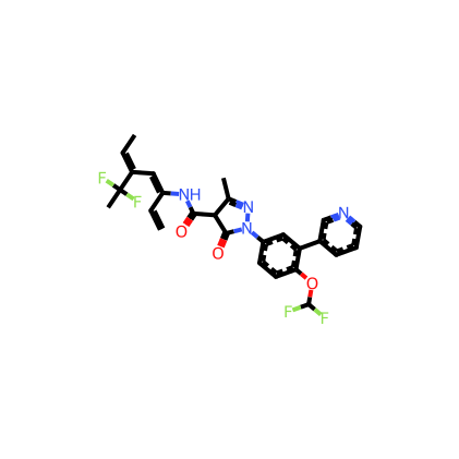 C=C/C(=C\C(=C/C)C(C)(F)F)NC(=O)C1C(=O)N(c2ccc(OC(F)F)c(-c3cccnc3)c2)N=C1C